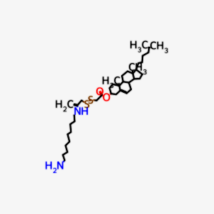 C=C(CSSCC(=O)OC1CCC2(C)C(=CCC3C2CCC2(C)C(CCCCC(C)C)CCC32)C1)NCCCCCCCCCCN